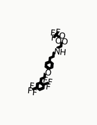 O=C(CCNCCCc1ccc(OCCCc2cc(C(F)(F)F)ccc2C(F)(F)F)cc1)OC(=O)C(F)(F)F